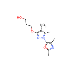 Cc1nc(C)c(-n2nc(OCCCO)c([N+](=O)[O-])c2C)o1